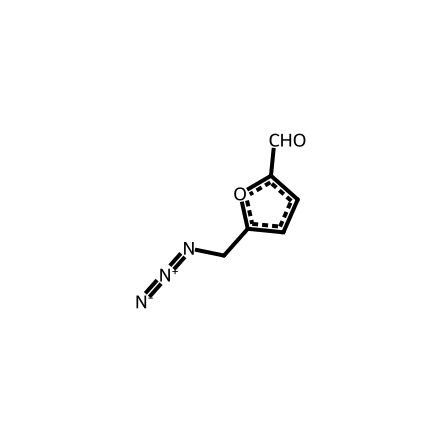 [N-]=[N+]=NCc1ccc(C=O)o1